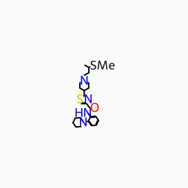 CSC(C)CCN1CCC(c2nc(C(=O)Nc3ccccc3N3CCCCC3)cs2)CC1